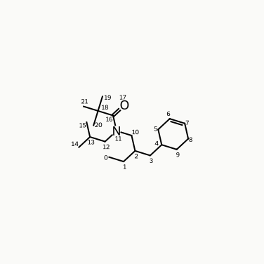 CCC(CC1CC=CCC1)CN(CC(C)C)C(=O)C(C)(C)C